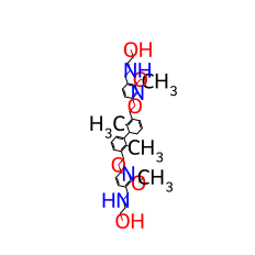 COc1nc(OCC2=C(C)C(c3cccc(COc4ccc(CNCCO)c(OC)n4)c3C)CC=C2)ccc1CNCCO